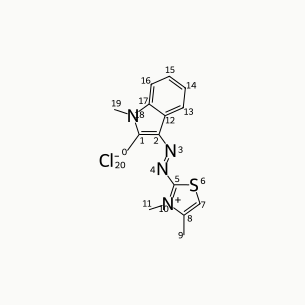 Cc1c(/N=N/c2scc(C)[n+]2C)c2ccccc2n1C.[Cl-]